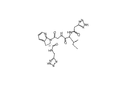 CCC(C)C(NC(=O)Cc1nn[nH]n1)C(=O)NCC(=O)N1c2ncccc2C[C@H]1C(=O)NCc1nn[nH]n1